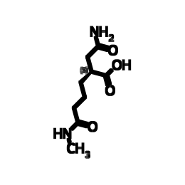 CNC(=O)CCC[C@@H](CC(N)=O)C(=O)O